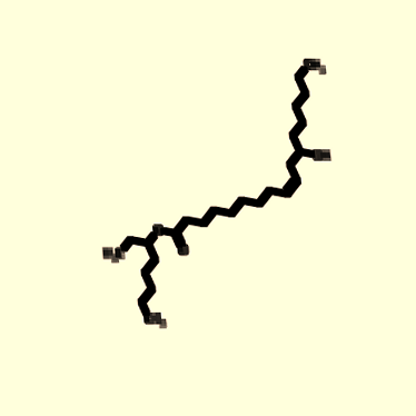 CCCCCCC(O)C/C=C\CCCCCCCC(=O)OC(CC)CCCCC